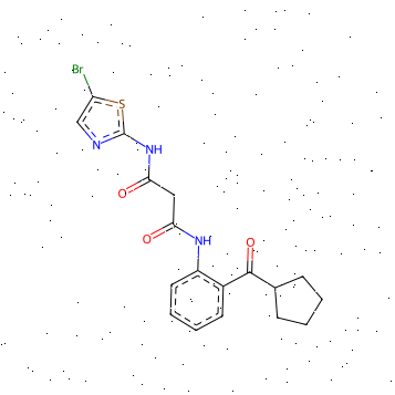 O=C(CC(=O)Nc1ccccc1C(=O)C1CCCC1)Nc1ncc(Br)s1